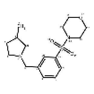 CC1CCN(Cc2cccc(S(=O)(=O)N3CCOCC3)c2)C1